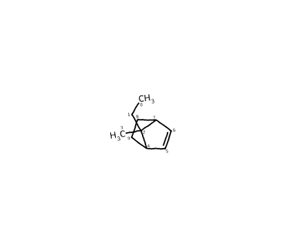 CCC1(C)C2C=CC1CC2